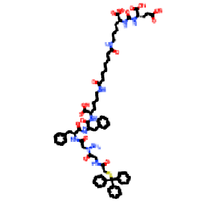 NN(CC(=O)NC(Cc1ccccc1)C(=O)NC(Cc1ccccc1)C(=O)NC(CCCCNC(=O)CCCCCCC(=O)NCCCC[C@H](NC(=O)N[C@@H](CCC(=O)O)C(=O)O)C(=O)O)C(=O)O)C(=O)CNC(=O)CSC(c1ccccc1)(c1ccccc1)c1ccccc1